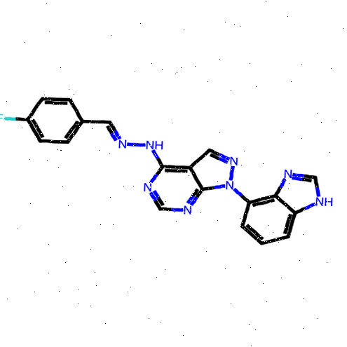 Fc1ccc(C=NNc2ncnc3c2cnn3-c2cccc3[nH]cnc23)cc1